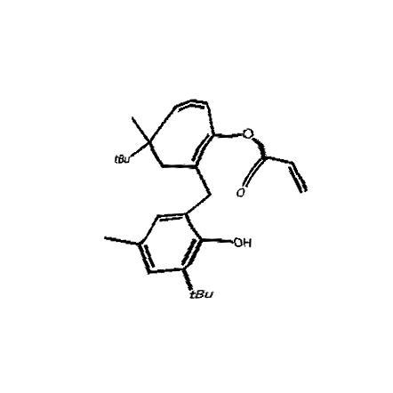 C=CC(=O)OC1=C(Cc2cc(C)cc(C(C)(C)C)c2O)CC(C)(C(C)(C)C)C=C1